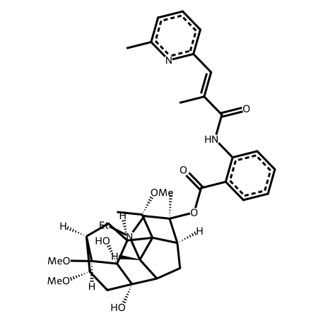 CCN1C[C@@](C)(OC(=O)c2ccccc2NC(=O)/C(C)=C/c2cccc(C)n2)[C@H]2CC3[C@H]1C2([C@H](C)OC)[C@@H]1C[C@@H]2[C@@H](OC)C[C@@]3(O)[C@@]1(O)[C@H]2OC